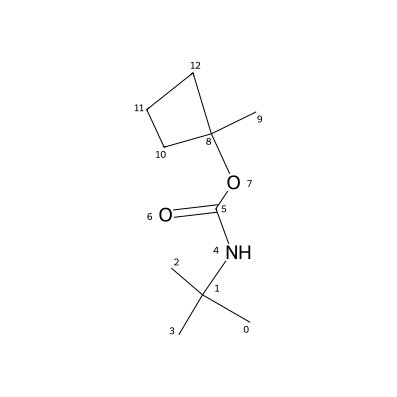 CC(C)(C)NC(=O)OC1(C)CCC1